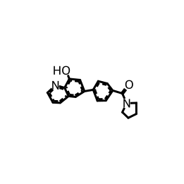 O=C(c1ccc(-c2cc(O)c3ncccc3c2)cc1)N1CCCC1